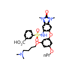 CCCOc1cc(OCCCCN(C)C)cc(Oc2cc3c(cc2NS(=O)(=O)c2cccc(C(=O)O)c2)n(C)c(=O)n3C)c1